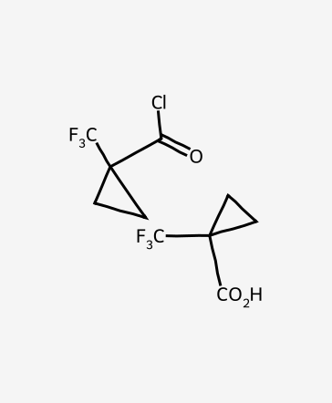 O=C(Cl)C1(C(F)(F)F)CC1.O=C(O)C1(C(F)(F)F)CC1